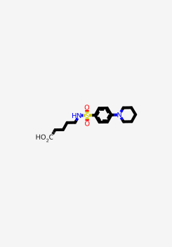 O=C(O)CCCCNS(=O)(=O)c1ccc(N2CCCCC2)cc1